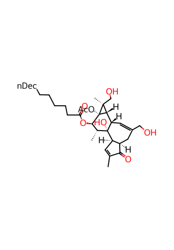 CCCCCCCCCCCCCCCC(=O)O[C@@H]1[C@@H](C)[C@]2(O)[C@@H]3C=C(C)C(=O)[C@@H]3CC(CO)=C[C@H]2[C@@H]2[C@]1(OC(C)=O)[C@@]2(C)CO